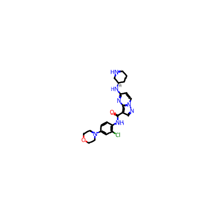 O=C(Nc1ccc(N2CCOCC2)cc1Cl)c1cnn2ccc(N[C@@H]3CCCNC3)nc12